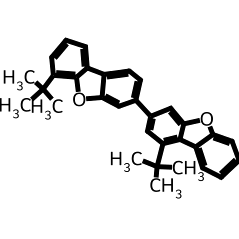 CC(C)(C)c1cccc2c1oc1cc(-c3cc(C(C)(C)C)c4c(c3)oc3ccccc34)ccc12